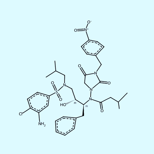 CC(C)CC(=O)N([C@@H](Cc1ccccc1)[C@H](O)CN(CC(C)C)S(=O)(=O)c1ccc(Cl)c(N)c1)N1CC(=O)N(Cc2ccc([N+](=O)[O-])cc2)C1=O